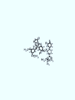 COc1ccc(CN(c2ncc(Cl)s2)S(=O)(=O)c2cc(F)c(OC[C@@H]3CN(C(=O)OC(C)(C)C)CCC3c3ccc(F)c(F)c3)cc2F)c(OC)c1